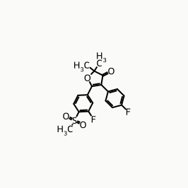 CC1(C)OC(c2ccc(S(C)(=O)=O)c(F)c2)=C(c2ccc(F)cc2)C1=O